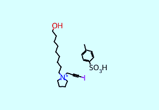 Cc1ccc(S(=O)(=O)O)cc1.OCCCCCCCCC[N+]1(CC#CI)CCCC1